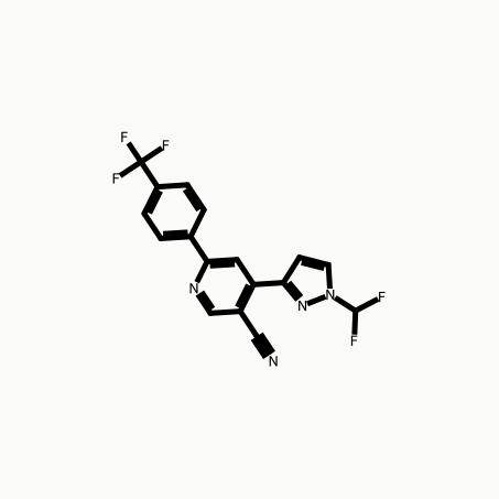 N#Cc1cnc(-c2ccc(C(F)(F)F)cc2)cc1-c1ccn(C(F)F)n1